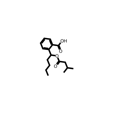 CCCCC(OC(=O)CC(C)C)c1ccccc1C(=O)O